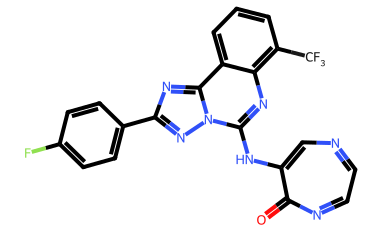 O=c1nccncc1Nc1nc2c(C(F)(F)F)cccc2c2nc(-c3ccc(F)cc3)nn12